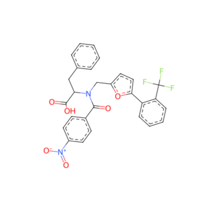 O=C(O)C(Cc1ccccc1)N(Cc1ccc(-c2ccccc2C(F)(F)F)o1)C(=O)c1ccc([N+](=O)[O-])cc1